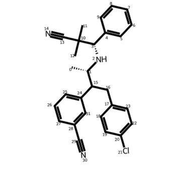 C[C@H](N[C@@H](c1ccccc1)C(C)(C)C#N)C(Cc1ccc(Cl)cc1)c1cccc(C#N)c1